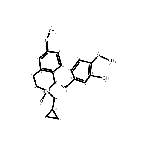 COc1ccc2c(c1)CC[N+](O)(CC1CC1)[C@H]2Cc1ccc(OC)c(O)c1